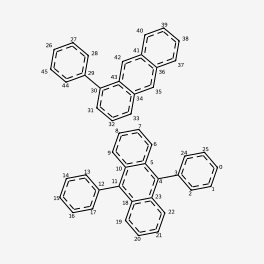 c1ccc(-c2c3ccccc3c(-c3ccccc3)c3ccccc23)cc1.c1ccc(-c2cccc3cc4ccccc4cc23)cc1